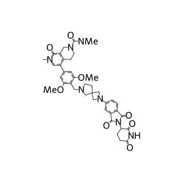 CNC(=O)N1CCc2c(-c3cc(OC)c(CN4CCC5(C4)CN(c4ccc6c(c4)C(=O)N(C4CCC(=O)NC4=O)C6=O)C5)c(OC)c3)cn(C)c(=O)c2C1